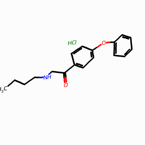 CCCCNCC(=O)c1ccc(Oc2ccccc2)cc1.Cl